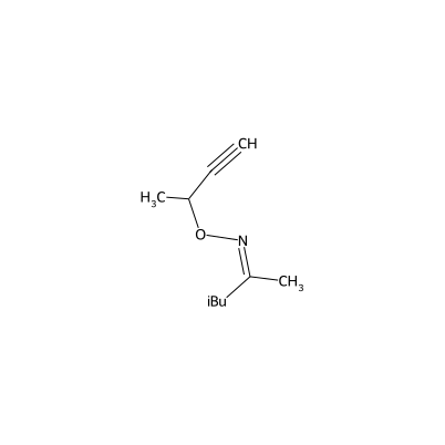 C#CC(C)O/N=C(/C)C(C)CC